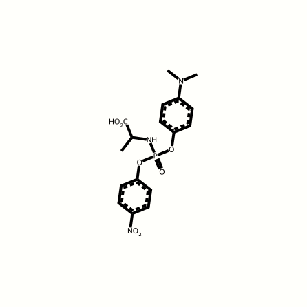 CC(NP(=O)(Oc1ccc(N(C)C)cc1)Oc1ccc([N+](=O)[O-])cc1)C(=O)O